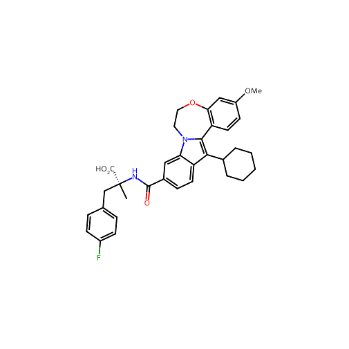 COc1ccc2c(c1)OCCn1c-2c(C2CCCCC2)c2ccc(C(=O)N[C@@](C)(Cc3ccc(F)cc3)C(=O)O)cc21